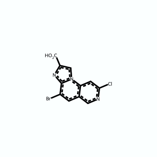 O=C(O)c1cn2c(n1)c(Br)cc1cnc(Cl)cc12